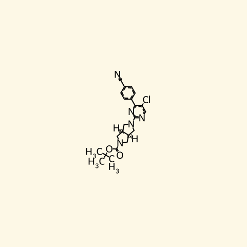 CC(C)(C)OC(=O)N1C[C@@H]2CN(c3ncc(Cl)c(-c4ccc(C#N)cc4)n3)C[C@@H]2C1